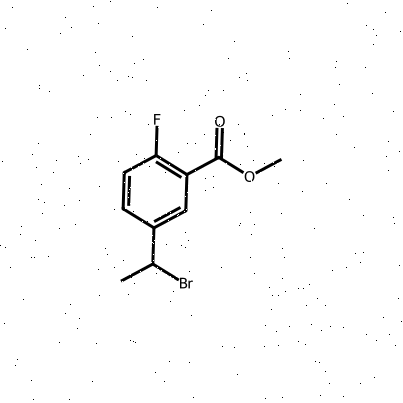 COC(=O)c1cc(C(C)Br)ccc1F